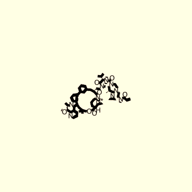 C=CC(=O)N(C)CCN1CCN(C(=O)[N+](C)(C)[C@H](C(=O)N(C)CC[C@H]2Cc3cccc(c3)-c3ccc4c(c3)c(c(-c3cccnc3[C@H](C)OC)n4CC)CC(C)(C)COC(=O)[C@@H]3CCCN(C2=O)[N+]2(C)CC32)C(C)C)C[C@@H](C)C1N1CC1